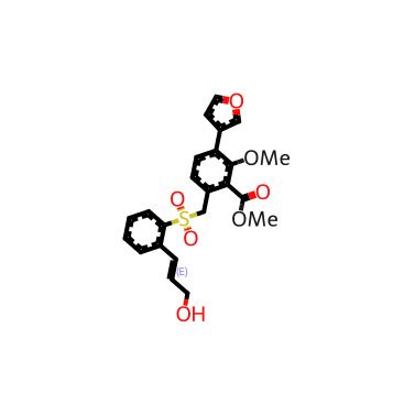 COC(=O)c1c(CS(=O)(=O)c2ccccc2/C=C/CO)ccc(-c2ccoc2)c1OC